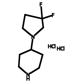 Cl.Cl.FC1(F)CCN(C2CCNCC2)C1